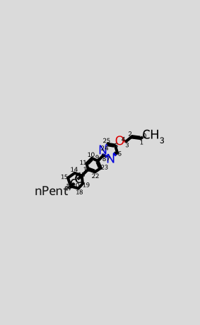 CC=CCOc1cnc(-c2ccc(C34CCC(CCCCC)(CC3)CC4)cc2)nc1